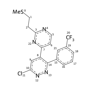 CSCCc1nccc(-c2cc(Cl)nnc2-c2cccc(C(F)(F)F)c2)n1